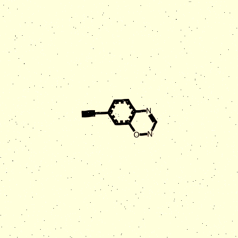 C#Cc1ccc2c(c1)O[N]C=N2